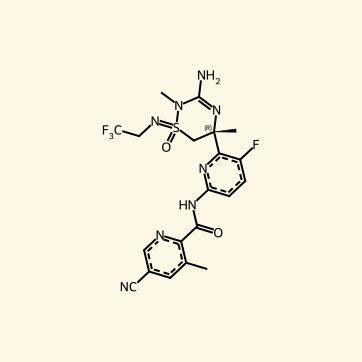 Cc1cc(C#N)cnc1C(=O)Nc1ccc(F)c([C@]2(C)CS(=O)(=NCC(F)(F)F)N(C)C(N)=N2)n1